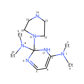 CCN(CC)C1=CC=NC(N(CC)CC)(N2CC[N]CC2)N1